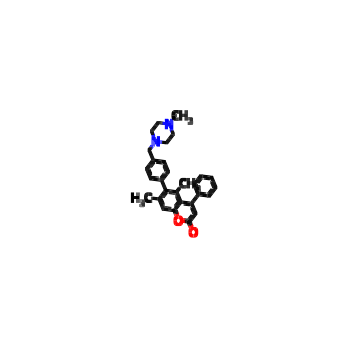 Cc1cc2oc(=O)cc(-c3ccccc3)c2c(C)c1-c1ccc(CN2CCN(C)CC2)cc1